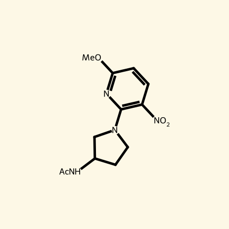 COc1ccc([N+](=O)[O-])c(N2CCC(NC(C)=O)C2)n1